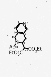 CCOC(=O)C(C(=O)OCC)C1Cc2cnccc2CN1C(C)=O